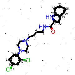 O=C(NCCCCN1CCN(c2ccc(Cl)cc2Cl)CC1)c1cc2ccccc2[nH]1